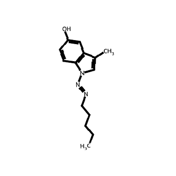 CCCCCN=Nn1cc(C)c2cc(O)ccc21